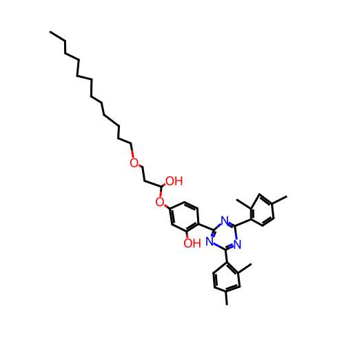 CCCCCCCCCCCCOCCC(O)Oc1ccc(-c2nc(-c3ccc(C)cc3C)nc(-c3ccc(C)cc3C)n2)c(O)c1